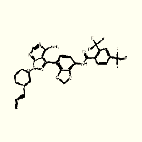 CC=CN1CCC[C@@H](n2nc(-c3ccc(NC(=O)c4ccc(C(F)(F)F)cc4C(F)(F)F)c4c3OCO4)c3c(N)ncnc32)C1